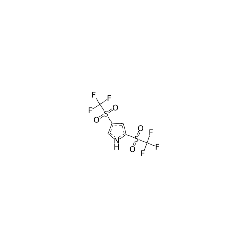 O=S(=O)(c1c[nH]c(S(=O)(=O)C(F)(F)F)c1)C(F)(F)F